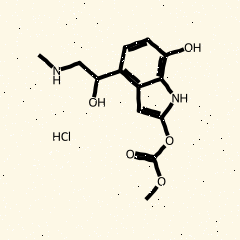 CNCC(O)c1ccc(O)c2[nH]c(OC(=O)OC)cc12.Cl